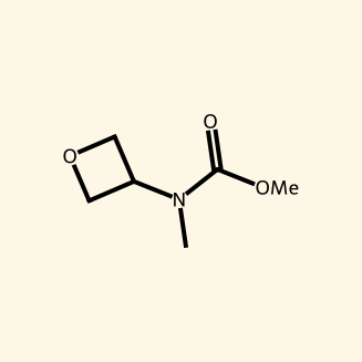 COC(=O)N(C)C1COC1